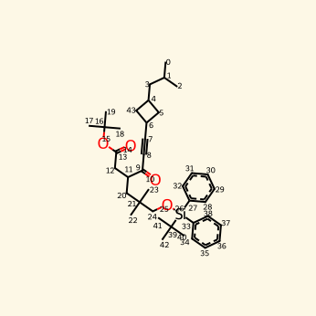 CC(C)CC1CC(C#CC(=O)C(CC(=O)OC(C)(C)C)CC(C)(C)CO[Si](c2ccccc2)(c2ccccc2)C(C)(C)C)C1